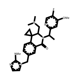 CNc1nccn1Cc1ccc2c(c1)C(=O)N(C(C)c1cc(OC)c(F)cn1)C(CN(C)C)C21CC1